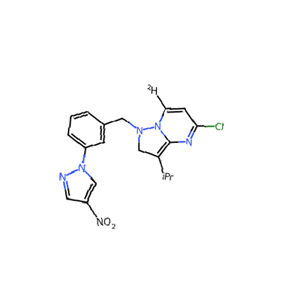 [2H]C1=CC(Cl)=NC2=C(C(C)C)CN(Cc3cccc(-n4cc([N+](=O)[O-])cn4)c3)N12